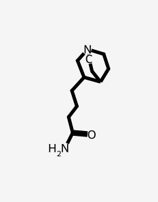 NC(=O)CCCC1CN2CCC1CC2